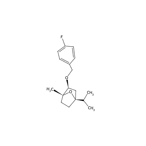 CC(C)[C@@]12CC[C@@](C)(O1)[C@@H](OCc1ccc(F)cc1)C2